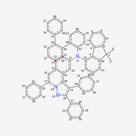 CC1(C)c2ccccc2-c2c(N(c3ccc4cc(-c5ccccc5)n5nc(-c6ccccc6)c(-c6ccccc6)c5c4c3)c3ccccc3-c3ccccc3-c3ccccc3)cccc21